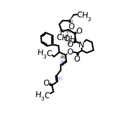 CCC(=O)/C=C/C/C=C/[C@H](OC(=O)C1CCCCN1C(=O)C(=O)[C@]1(O)O[C@H](CC)CC[C@H]1C)C(CC)Cc1ccccc1